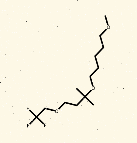 COCCCCCOC(C)(C)CCOCC(F)(F)F